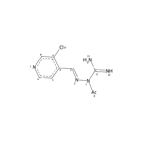 CC(=O)N(N=Cc1ccncc1Cl)C(=N)N